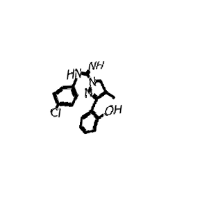 CC1CN(C(=N)Nc2ccc(Cl)cc2)N=C1c1ccccc1O